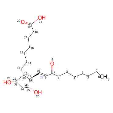 CCCCCCCC(=O)/C=C/[C@@H]1[C@@H](CCCCCCC(=O)O)[C@@H](O)C[C@H]1O